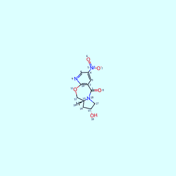 O=C1c2cc([N+](=O)[O-])cnc2OC[C@H]2C[C@@H](O)CN12